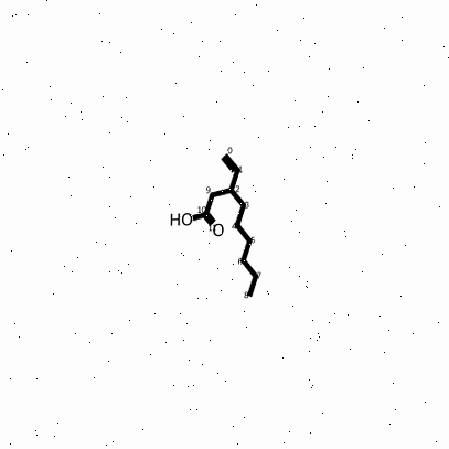 C=CC(CCCCCC)CC(=O)O